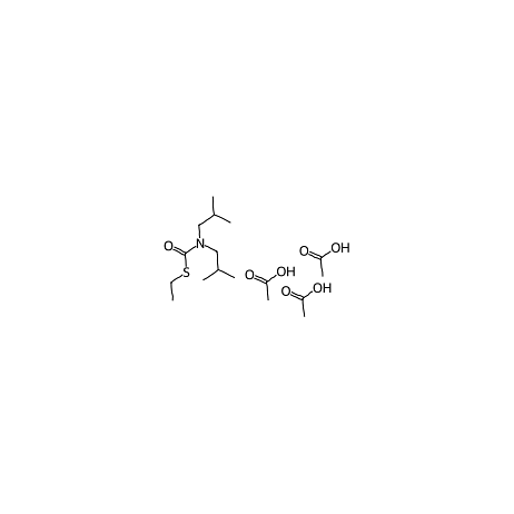 CC(=O)O.CC(=O)O.CC(=O)O.CCSC(=O)N(CC(C)C)CC(C)C